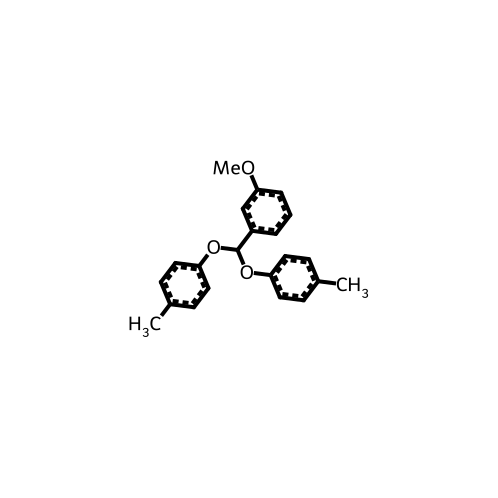 COc1cccc(C(Oc2ccc(C)cc2)Oc2ccc(C)cc2)c1